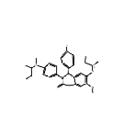 CCC(C)N(C)c1ccc(N2C(=O)Cc3cc(OC)c(O[C@H](C)CC)cc3C2c2ccc(Cl)cc2)cc1